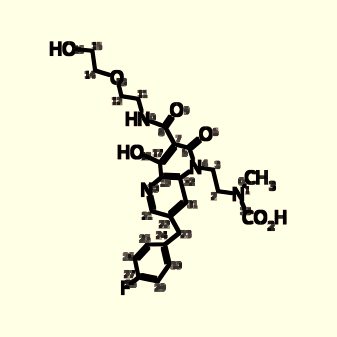 CN(CCn1c(=O)c(C(=O)NCCOCCO)c(O)c2ncc(Cc3ccc(F)cc3)cc21)C(=O)O